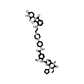 CC[C@@H]1C(=O)N(C)c2cnc(Nc3ccc(C(=O)N[C@H]4CC[C@H](N5CCN(CCNc6cccc7c6C(=O)N(C6CCC(=O)NC6=O)C7=O)CC5)CC4)cc3OC)nc2N1C1CCCC1